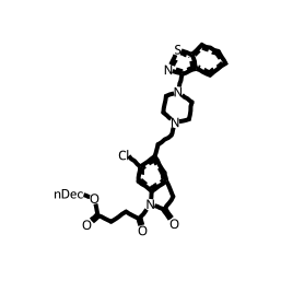 CCCCCCCCCCOC(=O)CCC(=O)N1C(=O)Cc2cc(CCN3CCN(c4nsc5ccccc45)CC3)c(Cl)cc21